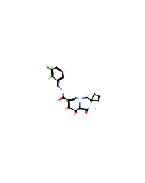 CCN1C(=O)C2C(=O)C(=O)C(C(=O)NCc3cccc(Cl)c3F)=CN2CC12CCC2